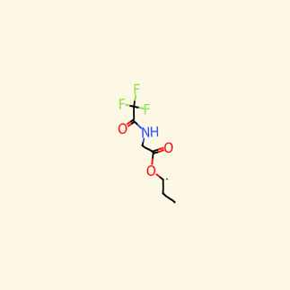 CC[CH]OC(=O)CNC(=O)C(F)(F)F